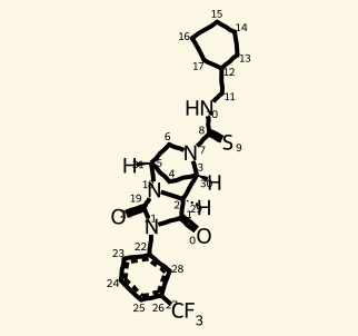 O=C1[C@@H]2[C@@H]3C[C@@H](CN3C(=S)NCC3CCCCC3)N2C(=O)N1c1cccc(C(F)(F)F)c1